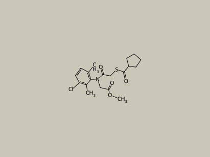 COC(=O)CN(C(=O)CSC(=O)C1CCCC1)c1c(C)ccc(Cl)c1C